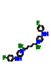 Fc1ccc(Nc2cc[n+](C(Br)CCCCC(Br)[n+]3ccc(Nc4ccc(F)cc4)cc3)cc2)cc1